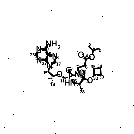 CC(C)OC(=O)CCN[P@@](=O)(CO[C@H](C)Cn1cnc2c(N)ncnc21)N[C@H](C)C(=O)OC1CCC1